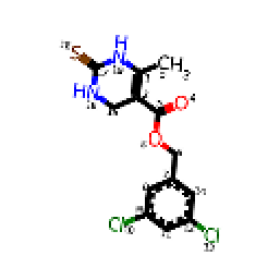 CC1=C(C(=O)OCc2cc(Cl)cc(Cl)c2)CNC(=S)N1